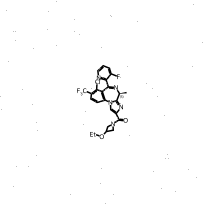 CCOC1CN(C(=O)c2cn3c(n2)[C@H](C)N=C(c2ncccc2F)c2c-3ccc(C(F)(F)F)c2Cl)C1